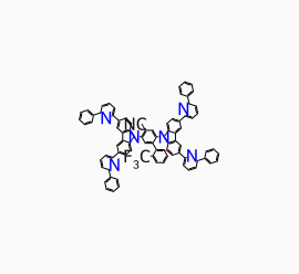 N#Cc1cc(-n2c3ccc(-c4cccc(-c5ccccc5)n4)cc3c3cc(-c4cccc(-c5ccccc5)n4)ccc32)c(-c2ccccc2C(F)(F)F)cc1-n1c2ccc(-c3cccc(-c4ccccc4)n3)cc2c2cc(-c3cccc(-c4ccccc4)n3)ccc21